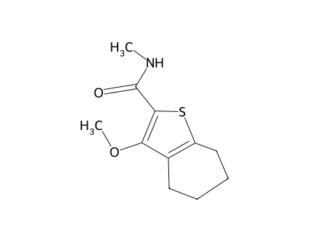 CNC(=O)c1sc2c(c1OC)CCCC2